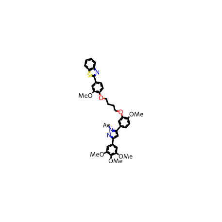 COc1cc(-c2nc3ccccc3s2)ccc1OCCCCOc1cc(-c2cc(-c3cc(OC)c(OC)c(OC)c3)nn2C(C)=O)ccc1OC